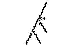 CCCCCCCCCCCC(O)CN(CCCCCCCC(OCCCCCCCC)OCCCCCCCC)OC(=O)CCCCCCC